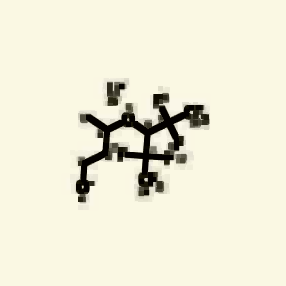 CC(CC[O-])OC(C(F)(F)C(F)(F)F)C(F)(F)C(F)(F)F.[Li+]